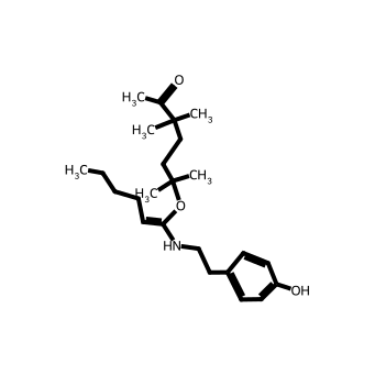 CCCCC=C(NCCc1ccc(O)cc1)OC(C)(C)CCC(C)(C)C(C)=O